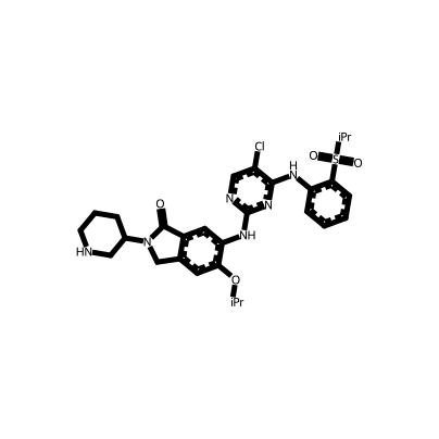 CC(C)Oc1cc2c(cc1Nc1ncc(Cl)c(Nc3ccccc3S(=O)(=O)C(C)C)n1)C(=O)N(C1CCCNC1)C2